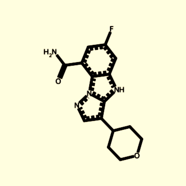 NC(=O)c1cc(F)cc2[nH]c3c(C4CCOCC4)cnn3c12